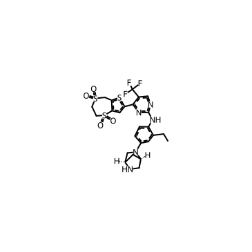 CCc1cc(N2C[C@H]3C[C@@H]2CN3)ccc1Nc1ncc(C(F)(F)F)c(-c2cc3c(s2)CS(=O)(=O)CCS3(=O)=O)n1